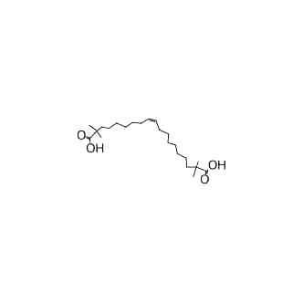 CC(C)(CCCCCC/C=C\CCCCCCCC(C)(C)C(=O)O)C(=O)O